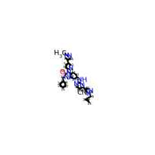 Cn1cc(-c2ccc(N(C(=O)NCc3ccccc3)C3CCC(Nc4ncc(C#N)c(-c5cnn(CC6CC6)c5)n4)CC3)nc2)cn1